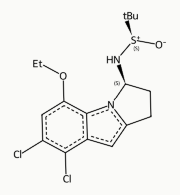 CCOc1cc(Cl)c(Cl)c2cc3n(c12)[C@@H](N[S@+]([O-])C(C)(C)C)CC3